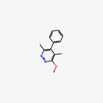 COc1nnc(C)c(-c2ccccc2)c1C